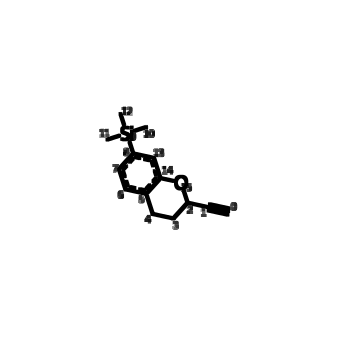 C#CC1CCc2ccc([Si](C)(C)C)cc2O1